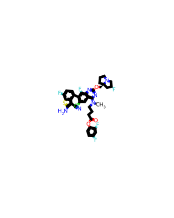 CN(CCCC(=O)Oc1ccc(F)cc1F)c1nc(OC[C@@]23CCCN2C[C@H](F)C3)nc2c(F)c(-c3ccc(F)c4sc(N)c(C#N)c34)c(Cl)cc12